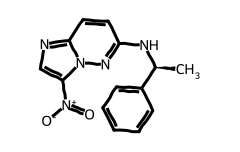 C[C@H](Nc1ccc2ncc([N+](=O)[O-])n2n1)c1ccccc1